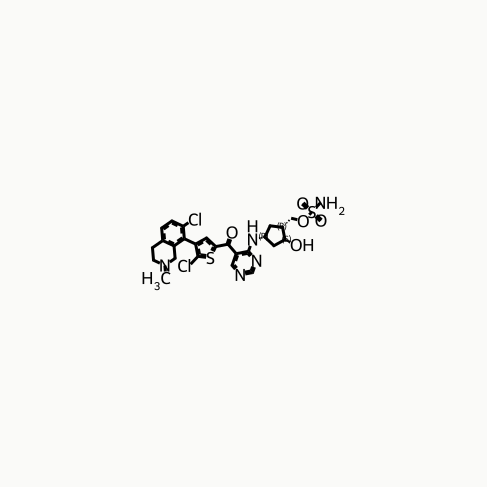 CN1CCc2ccc(Cl)c(-c3cc(C(=O)c4cncnc4N[C@@H]4C[C@H](COS(N)(=O)=O)[C@@H](O)C4)sc3Cl)c2C1